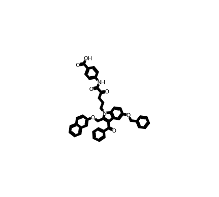 O=C(CCCn1c(COc2ccc3ccccc3c2)c(C(=O)c2ccccc2)c2cc(OCc3ccccc3)ccc21)C(=O)Nc1ccc(C(=O)O)cc1